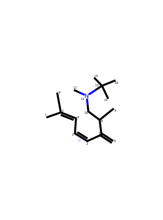 C=C(/C=C\C=C(C)C)C(C)CN(C)C(C)(C)C